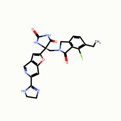 CCc1ccc2c(c1F)C(=O)N(C[C@@]1(c3cc4cnc(C5=NCCN5)cc4o3)NC(=O)NC1=O)C2